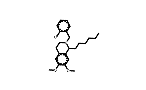 CCCCCCC1c2cc(OC)c(OC)cc2CCN1Cc1ccccc1Cl